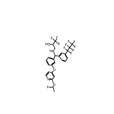 O[C@H](CNC(c1cccc(Oc2ccnc(OC(F)F)c2)c1)c1cccc(C(F)(F)C(F)(F)C(F)(F)F)c1)C(F)(F)F